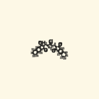 O=C1C(/C=C2\CCC(/C=C3\C(=O)c4cc5c(cc4C3=O)CCC=C5)=C2Cl)=C(O)c2cc3ccccc3cc21